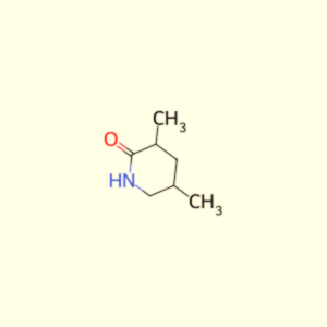 CC1CNC(=O)C(C)C1